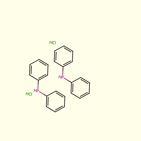 Cl.Cl.c1ccc(Pc2ccccc2)cc1.c1ccc(Pc2ccccc2)cc1